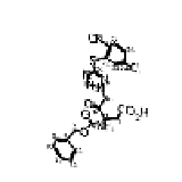 O=C(O)CC(NC(=O)OCc1ccccc1)C(=O)Cn1nnc(Sc2cc(Cl)ccc2Cl)n1